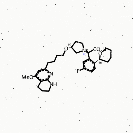 COc1cc(CCCCO[C@@H]2CC/[N+](=C(\C(=O)O)c3cc(F)ccc3[C@H]3CCCCO3)C2)nc2c1CCCN2